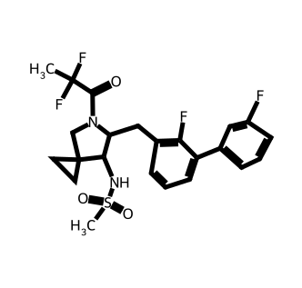 CC(F)(F)C(=O)N1CC2(CC2)C(NS(C)(=O)=O)C1Cc1cccc(-c2cccc(F)c2)c1F